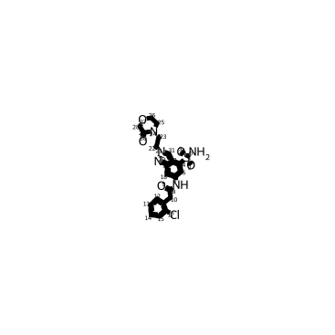 NS(=O)(=O)c1cc(NC(=O)Cc2ccccc2Cl)cc2nn(CCN3CCOCC3=O)cc12